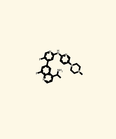 CC(N)c1ccnc2c(F)cc(-c3cc(Nc4ccc(N5CCN(C)CC5)cn4)ncc3F)cc12